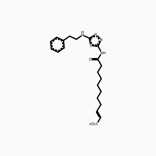 CCCCCCCC/C=C/CCCCCCCC(=O)Nc1nnc(NCCc2ccccc2)s1